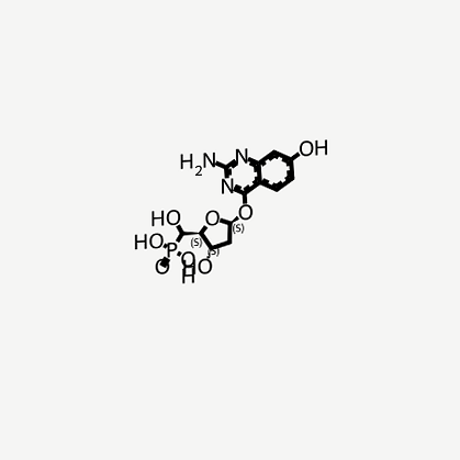 Nc1nc(O[C@H]2C[C@H](O)[C@@H](C(O)P(=O)(O)O)O2)c2ccc(O)cc2n1